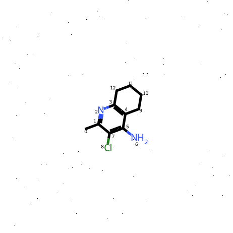 Cc1nc2c(c(N)c1Cl)CCCC2